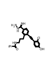 CC(C)C(=O)NCCCc1cc(C(=N)NN)ccc1C#Cc1ccc(O)cc1Cl